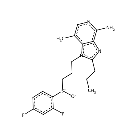 CCCc1nc2c(N)ncc(C)c2n1CCC[S+]([O-])c1ccc(F)cc1F